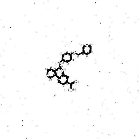 O=C(O)c1ccc2c(c1)nc(Nc1ccc(OCc3ccccc3)cc1)c1ccncc12